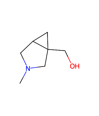 CN1CC2CC2(CO)C1